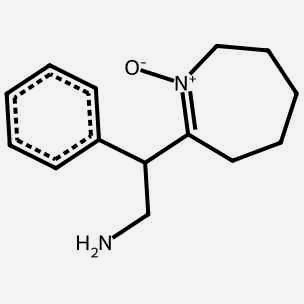 NCC(C1=[N+]([O-])CCCCC1)c1ccccc1